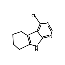 Clc1ncnc2[nH]c3c(c12)CCCC3